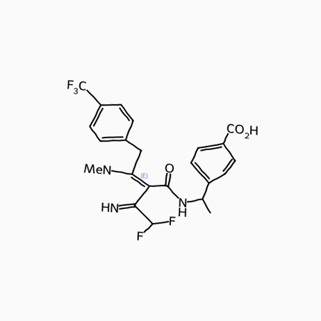 CN/C(Cc1ccc(C(F)(F)F)cc1)=C(\C(=N)C(F)F)C(=O)NC(C)c1ccc(C(=O)O)cc1